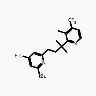 Cc1c(C(F)(F)F)ccnc1C(C)(C)CCc1cc(C(F)(F)F)cc(C(C)(C)C)n1